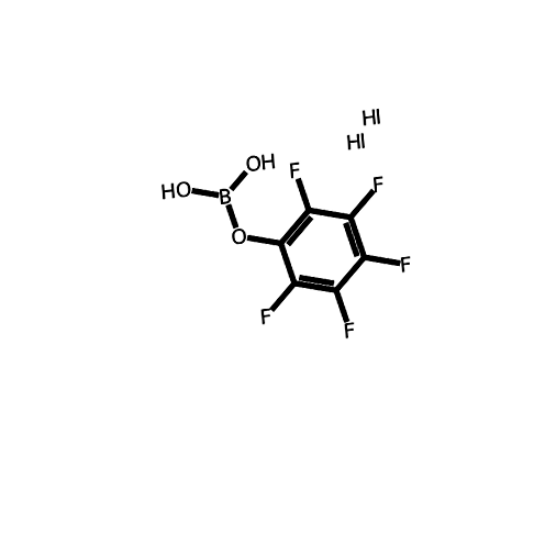 I.I.OB(O)Oc1c(F)c(F)c(F)c(F)c1F